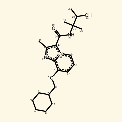 Cc1nc2c(OCC3CCCCC3)cccn2c1C(=O)NC(C)(C)C(C)O